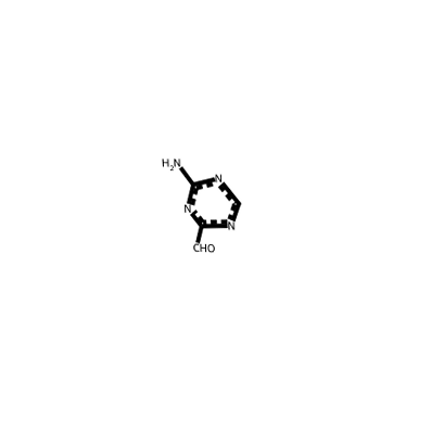 Nc1ncnc(C=O)n1